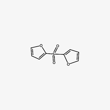 O=S(=O)(c1ccco1)c1ccco1